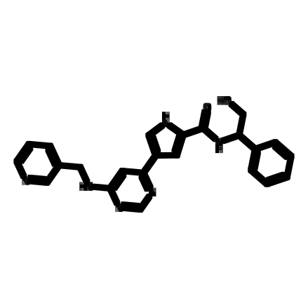 O=C(NC(CO)c1ccccc1)c1cc(-c2cc(NCc3cccnc3)ncn2)c[nH]1